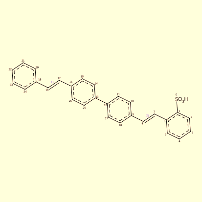 O=S(=O)(O)c1ccccc1/C=C/c1ccc(-c2ccc(/C=C/c3ccccc3)cc2)cc1